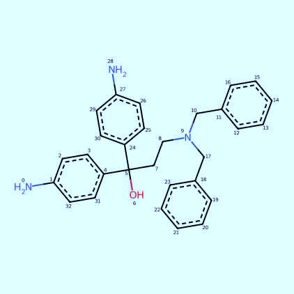 Nc1ccc(C(O)(CCN(Cc2ccccc2)Cc2ccccc2)c2ccc(N)cc2)cc1